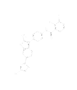 CC(C)(C)c1cnc(-c2ccc3c(c2)nc(C(F)(F)F)n3-c2ccc(NC(=O)c3cccc(F)c3F)cc2)o1